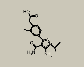 CC(C)n1nc(-c2ccc(CC(=O)O)c(F)c2)c(C(N)=O)c1N